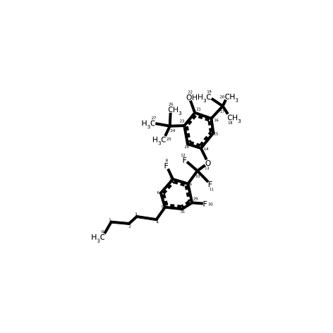 CCCCCc1cc(F)c(C(F)(F)Oc2cc(C(C)(C)C)c(O)c(C(C)(C)C)c2)c(F)c1